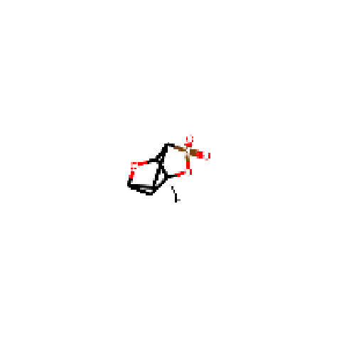 O=S1(=O)O[C@H]2CC3CC1C2O3